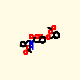 CC(=O)Oc1ccccc1CNC(Cc1ccc(OCc2ccccc2OC(C)=O)cc1)C(=O)O